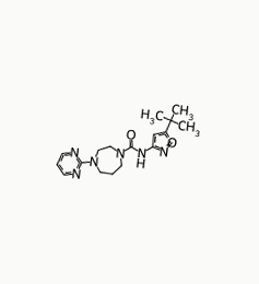 CC(C)(C)c1cc(NC(=O)N2CCCN(c3ncccn3)CC2)no1